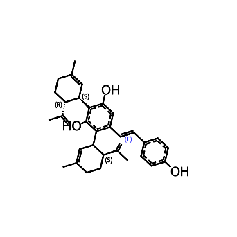 C=C(C)[C@H]1CCC(C)=CC1c1c(/C=C/c2ccc(O)cc2)cc(O)c([C@@H]2C=C(C)CC[C@H]2C(=C)C)c1O